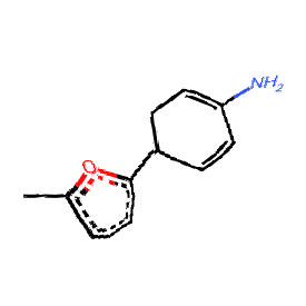 Cc1ccc(C2C=CC(N)=CC2)o1